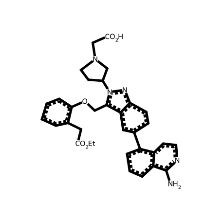 CCOC(=O)Cc1ccccc1OCc1c2cc(-c3cccc4c(N)nccc34)ccc2nn1C1CCN(CC(=O)O)C1